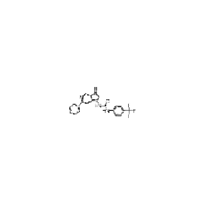 O=C(Nc1ccc(C(F)(F)F)cc1)Nc1c[nH]c2cnc(-c3ccccc3)cc12